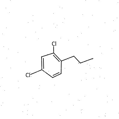 C[CH]Cc1ccc(Cl)cc1Cl